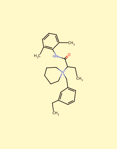 CCc1cccc(C[N+]2(C(CC)C(=O)Nc3c(C)cccc3C)CCCCC2)c1